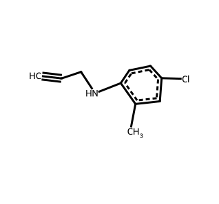 C#CCNc1ccc(Cl)cc1C